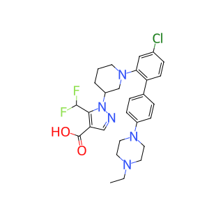 CCN1CCN(c2ccc(-c3ccc(Cl)cc3N3CCCC(n4ncc(C(=O)O)c4C(F)F)C3)cc2)CC1